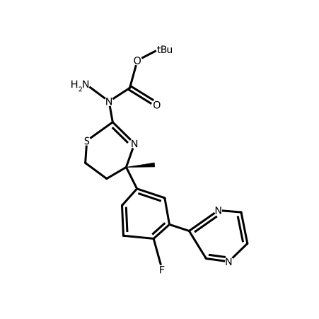 CC(C)(C)OC(=O)N(N)C1=N[C@](C)(c2ccc(F)c(-c3cnccn3)c2)CCS1